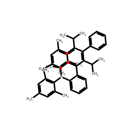 Cc1cc(C)c(P(c2ccccc2-c2c(C(C)C)cc(C(C)C)c(-c3ccccc3)c2C(C)C)c2c(C)cc(C)cc2C)c(C)c1